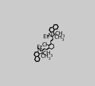 CCN1C(=CC=C2CCCC(C=CC3=[N+](CC)c4ccc5ccccc5c4C3(C)C)=C2Cl)C(C)(C)c2c1ccc1ccccc21